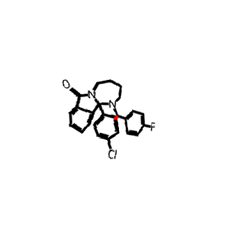 O=C1c2ccccc2C2(c3ccc(Cl)cc3)N(Cc3ccc(F)cc3)CCCCN12